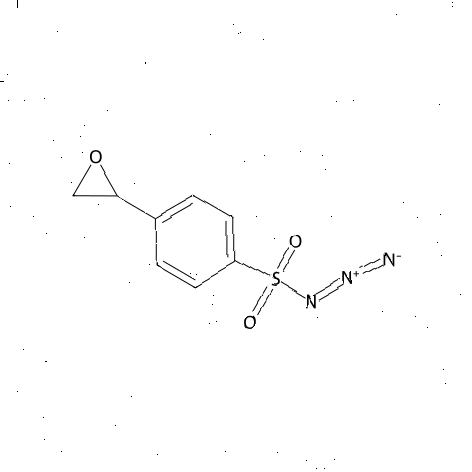 [N-]=[N+]=NS(=O)(=O)c1ccc(C2CO2)cc1